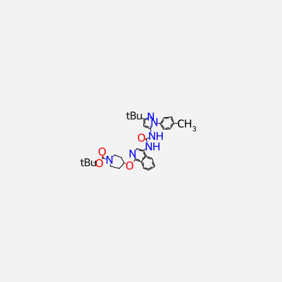 Cc1ccc(-n2nc(C(C)(C)C)cc2NC(=O)Nc2cnc(OC3CCN(C(=O)OC(C)(C)C)CC3)c3ccccc23)cc1